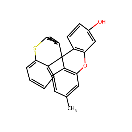 Cc1ccc2c(c1)Oc1cc(O)ccc1C21c2ccccc2Sc2ccccc21